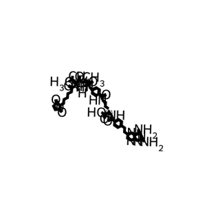 CC(C)C(NC(=O)CCCCCN1C(=O)C=CC1=O)C(=O)N[C@@H](C)C(=O)Nc1ccc(C(=O)NCCC[C@H](NC(=O)c2ccc(CCc3cnc4nc(N)nc(N)c4n3)cc2)C(=O)O)cc1